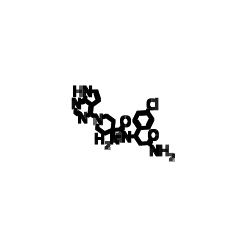 NC(=O)CC(NC(=O)C1(N)CCN(c2ncnc3[nH]ccc23)CC1)c1ccc(Cl)cc1